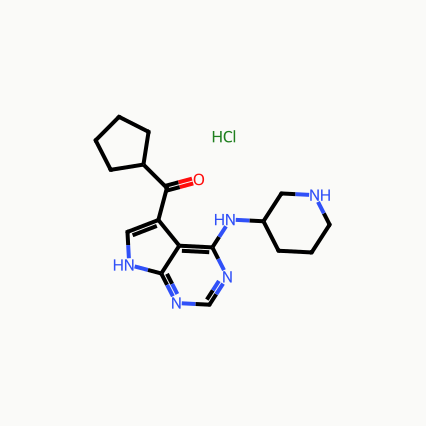 Cl.O=C(c1c[nH]c2ncnc(NC3CCCNC3)c12)C1CCCC1